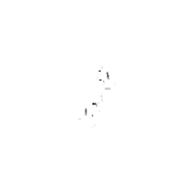 NC(=O)[C@H](CO)NC(=O)CCc1c[nH]c2ccccc12